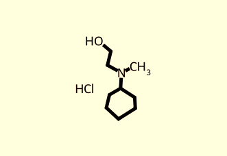 CN(CCO)C1CCCCC1.Cl